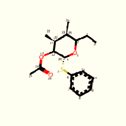 CCC1O[C@H](Sc2ccccc2)C(OC(C)=O)[C@@H](C)[C@H]1C